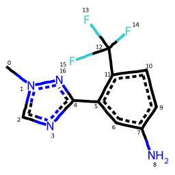 Cn1cnc(-c2cc(N)ccc2C(F)(F)F)n1